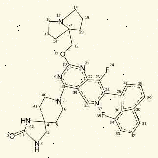 O=C1NCC2(CCN(c3nc(OCC45CCCN4CCC5)nc4c(F)c(-c5cccc6cccc(F)c56)ncc34)CC2)N1